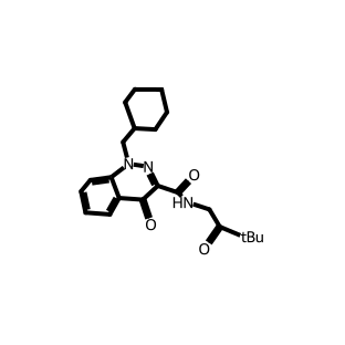 CC(C)(C)C(=O)CNC(=O)c1nn(CC2CCCCC2)c2ccccc2c1=O